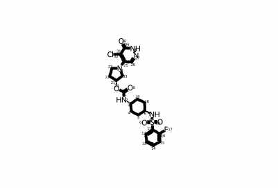 O=C(N[C@H]1CC[C@H](NS(=O)(=O)c2ccccc2F)CC1)O[C@@H]1CCN(c2cn[nH]c(=O)c2Cl)C1